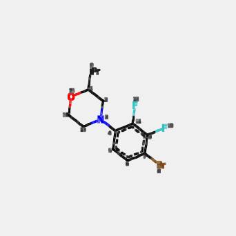 CC(C)C1CN(c2ccc(Br)c(F)c2F)CCO1